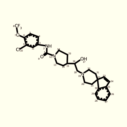 O=C(Nc1ccc(OC(F)(F)F)c(Cl)c1)N1CCC(C(O)CN2CCC3(C=Cc4ccccc43)CC2)CC1